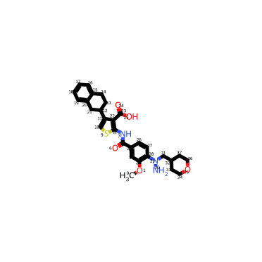 COc1cc(C(=O)Nc2scc(C3CCc4ccccc4C3)c2C(=O)O)ccc1N(N)CC1CCOCC1